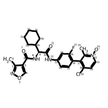 Cc1nocc1C(=O)N[C@H](C(=O)Nc1ccc(-c2c(Cl)cc[n+]([O-])c2C)c(F)c1)C1CCCCC1